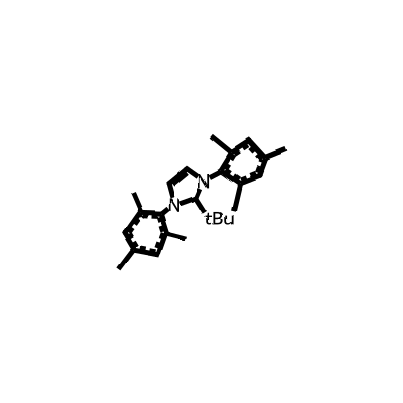 Cc1cc(C)c(N2C=CN(c3c(C)cc(C)cc3C)C2C(C)(C)C)c(C)c1